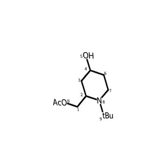 CC(=O)OCC1CC(O)CCN1C(C)(C)C